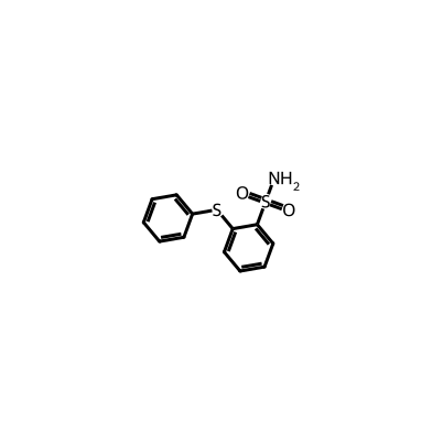 NS(=O)(=O)c1ccccc1Sc1ccccc1